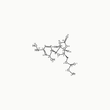 CC(C)OC(=O)OC[C@H]1O[C@@H](N2C=CC(NO)=NC2O)[C@@H]2OC(=O)O[C@@H]21